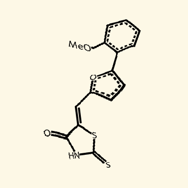 COc1ccccc1-c1ccc(/C=C2\SC(=S)NC2=O)o1